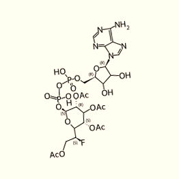 CC(=O)OC[C@H](F)C1O[C@@H](OP(=O)(O)OP(=O)(O)OC[C@H]2O[C@@H](n3cnc4c(N)ncnc43)C(O)C2O)[C@H](OC(C)=O)C(OC(C)=O)[C@@H]1OC(C)=O